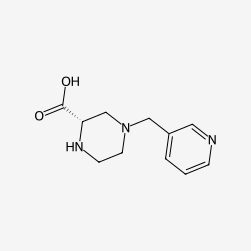 O=C(O)[C@@H]1CN(Cc2cccnc2)CCN1